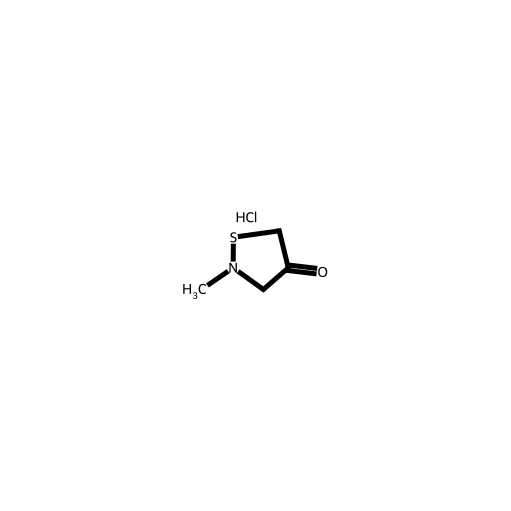 CN1CC(=O)CS1.Cl